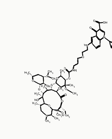 CC[C@H]1OC(=O)[C@H](C)[C@@H](O[C@H]2C[C@@](C)(OC)[C@@H](OC(=O)NCCCOCCNc3ccc4c(c3)c(=O)c(C(=O)O)cn4C3CC3)[C@H](C)O2)[C@H](C)[C@@H](O[C@@H]2O[C@H](C)C[C@H](N(C)C)[C@H]2O)[C@](C)(O)C2O[C@H]([C@@H](C)N(C)C[C@@H]2C)[C@]1(C)O